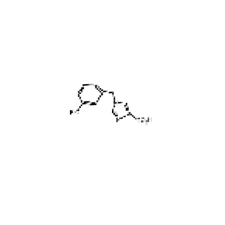 O=C(O)c1cn(Cc2cccc(C(F)(F)F)c2)cn1